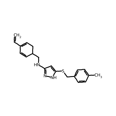 C=CC1=CCC(CNc2cc(SCc3ccc(C)cc3)[nH]n2)C=C1